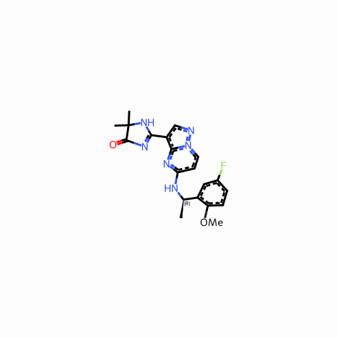 COc1ccc(F)cc1[C@@H](C)Nc1ccn2ncc(C3=NC(=O)C(C)(C)N3)c2n1